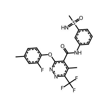 Cc1ccc(Oc2nnc(C(F)(F)F)c(C)c2C(=O)Nc2cccc(S(C)(=N)=O)c2)c(F)c1